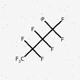 FC(F)(F)C(F)(F)C(F)(F)C(F)(F)[P]